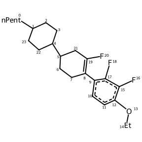 CCCCCC1CCC(C2CCC(c3ccc(OCC)c(F)c3F)=C(F)C2)CC1